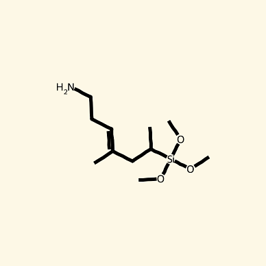 CO[Si](OC)(OC)C(C)CC(C)=CCCN